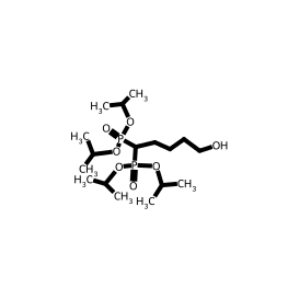 CC(C)OP(=O)(OC(C)C)C(CCCCO)P(=O)(OC(C)C)OC(C)C